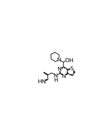 C=C(C=N)CNc1nc(C(O)N2CCCCC2)c2sccc2n1